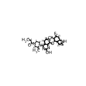 C=CC(=O)N1CCN(c2nc(O)nc3c(Oc4c(Cl)c(F)cc5[nH]ncc45)nccc23)C(C)C1